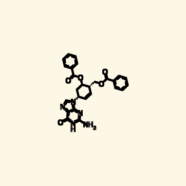 Nc1nc2c(ncn2[C@H]2C=C[C@@H](COC(=O)c3ccccc3)[C@H](OC(=O)c3ccccc3)C2)c(=O)[nH]1